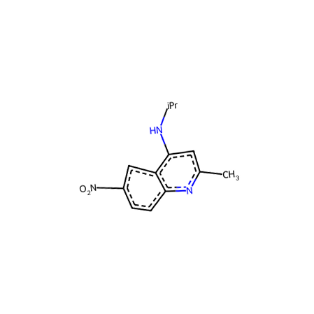 Cc1cc(NC(C)C)c2cc([N+](=O)[O-])ccc2n1